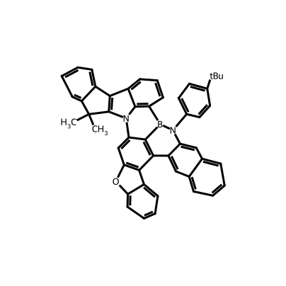 CC(C)(C)c1ccc(N2B3c4c(cc5oc6ccccc6c5c4-c4cc5ccccc5cc42)-n2c4c(c5cccc3c52)-c2ccccc2C4(C)C)cc1